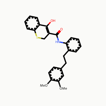 COc1ccc(CCc2ccccc2NC(=O)C2=C(O)c3ccccc3SC2)cc1OC